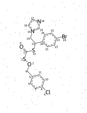 O=C(SOCc1ccc(Cl)cc1)SC(Cn1ccnc1)c1ccc(Br)cc1